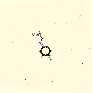 COCNc1ccc(F)cc1